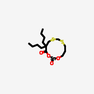 CCCCC1(CCCC)CSCSCCC[O][Sn](=[O])[O]C1=O